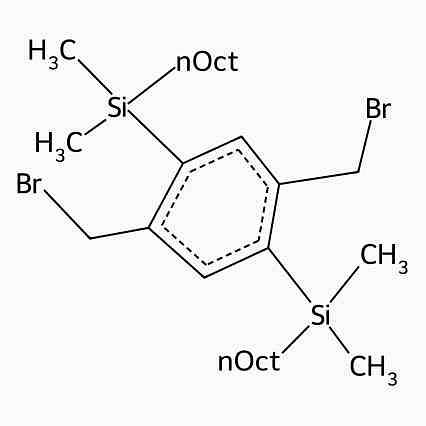 CCCCCCCC[Si](C)(C)c1cc(CBr)c([Si](C)(C)CCCCCCCC)cc1CBr